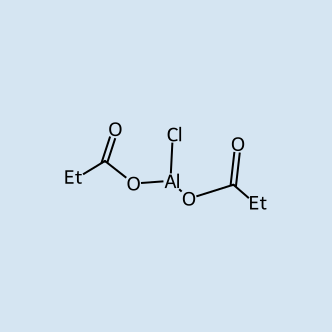 CCC(=O)[O][Al]([Cl])[O]C(=O)CC